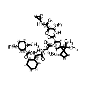 CCC[C@H](NC(=O)[C@@H]1C[C@@]2(CN1C(=O)[C@@H](NC(=O)[C@@H](NC(=O)[C@@H]1CN(C(C)C)CCN1C)C1CCCCC1)C(C)(C)C)C(C)(C)C21CCC1)C(=O)C(=O)NC1CC1